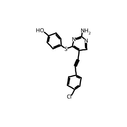 Nc1ncc(C#Cc2ccc(Cl)cc2)c(Sc2ccc(O)cc2)n1